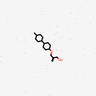 C=C(CO)COC1CCC(C2CCC(C)CC2)CC1